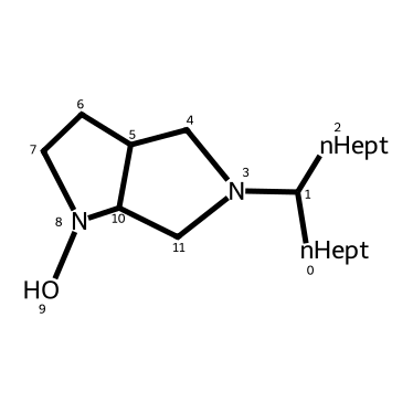 CCCCCCCC(CCCCCCC)N1CC2CCN(O)C2C1